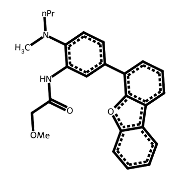 CCCN(C)c1ccc(-c2cccc3c2oc2ccccc23)cc1NC(=O)COC